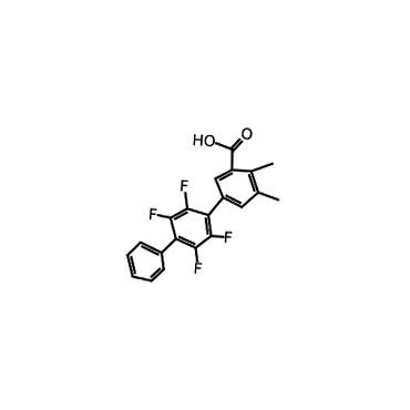 Cc1cc(-c2c(F)c(F)c(-c3ccccc3)c(F)c2F)cc(C(=O)O)c1C